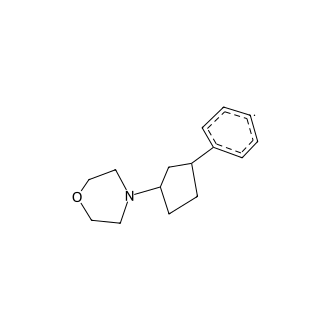 [c]1ccc(C2CCC(N3CCOCC3)C2)cc1